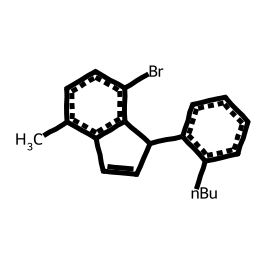 CCCCc1ccccc1C1C=Cc2c(C)ccc(Br)c21